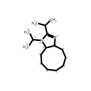 CC(C)C1=NC2CCCCCCCC2N1C(C)C